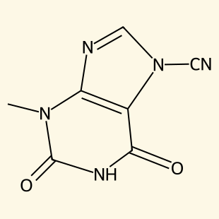 Cn1c(=O)[nH]c(=O)c2c1ncn2C#N